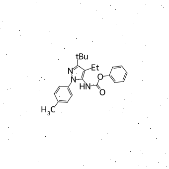 CCc1c(C(C)(C)C)nn(-c2ccc(C)cc2)c1NC(=O)Oc1ccccc1